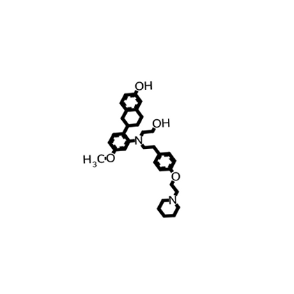 COc1ccc(C2CCc3cc(O)ccc3C2)c(N(CCO)CCc2ccc(OCCN3CCCCC3)cc2)c1